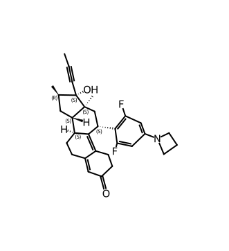 CC#C[C@]1(O)[C@H](C)C[C@H]2[C@@H]3CCC4=CC(=O)CCC4=C3[C@@H](c3c(F)cc(N4CCC4)cc3F)C[C@@]21C